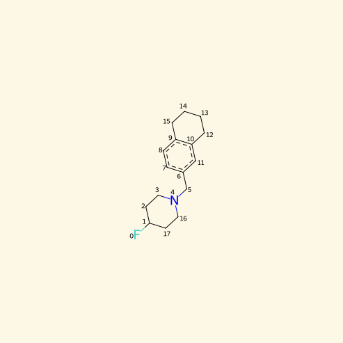 FC1CCN(Cc2ccc3c(c2)CCCC3)CC1